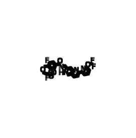 O=C(NCc1cc2nc(-c3cccc(OC(F)F)n3)ccc2cn1)c1cc(F)c2c(c1)S(=O)(=O)[C@@H](F)COC2